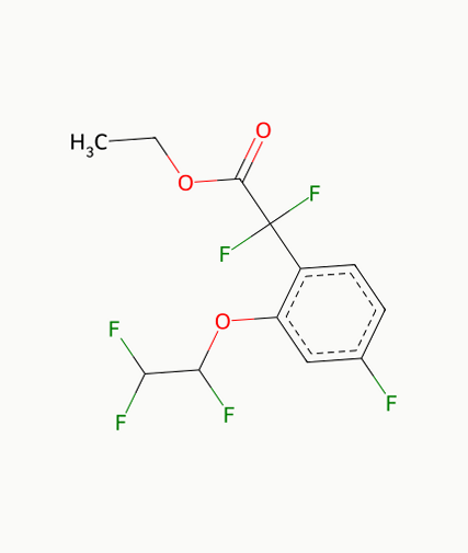 CCOC(=O)C(F)(F)c1ccc(F)cc1OC(F)C(F)F